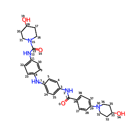 O=C(Nc1ccc(Nc2ccc(NC(=O)N3CCC(O)CC3)cc2)cc1)c1ccc(N2CCC(O)CC2)cc1